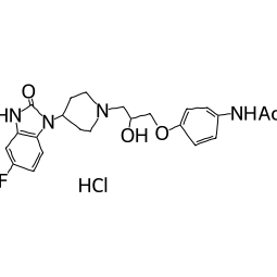 CC(=O)Nc1ccc(OCC(O)CN2CCC(n3c(=O)[nH]c4cc(F)ccc43)CC2)cc1.Cl